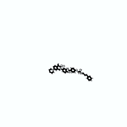 CC1c2ccc(N3CCCCC3)cc2CN(c2ccc3[nH]c(-c4ccc(OCC(=O)NCCCc5ccccc5)cc4)nc3c2)[C@H]1O